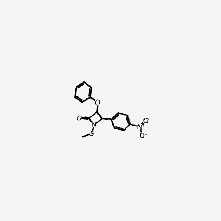 CSN1C(=O)C(Oc2ccccc2)C1c1ccc([N+](=O)[O-])cc1